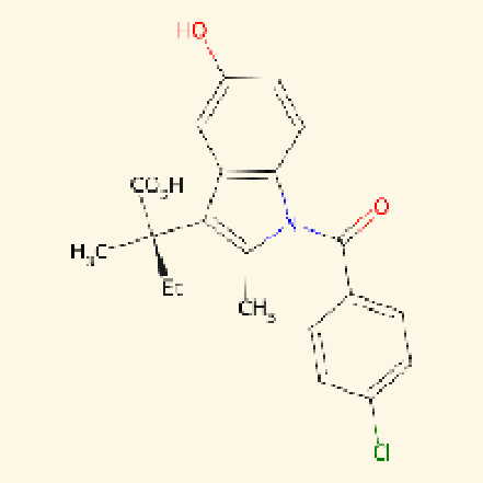 CC[C@@](C)(C(=O)O)c1c(C)n(C(=O)c2ccc(Cl)cc2)c2ccc(O)cc12